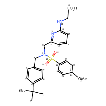 CCCCC(C)(C)c1ccc(CN(Cc2cccc(NCC(=O)O)n2)S(=O)(=O)c2ccc(OC)cc2)cc1